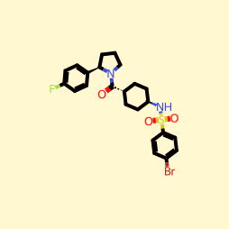 O=C([C@H]1CC[C@H](NS(=O)(=O)c2ccc(Br)cc2)CC1)N1CCC[C@@H]1c1ccc(F)cc1